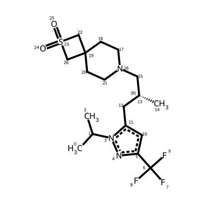 CC(C)n1nc(C(F)(F)F)cc1C[C@@H](C)CN1CCC2(CC1)CS(=O)(=O)C2